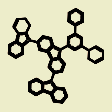 C1=CCC(c2cc(-c3ccccc3)cc(-n3c4ccc(-n5c6c(c7ccccc75)C=CCC6)cc4c4cc(-n5c6ccccc6c6ccccc65)ccc43)c2)C=C1